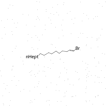 CCCCCCCCCCCCCCC/C=C/Br